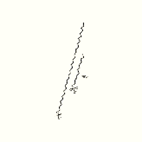 CCCCCCCCCCCCCCCCCCCCCCCCCCCCCCCCCCOS(=O)(=O)[O-].CCCCCCCCCCCCOS(=O)(=O)[O-].[Na+].[Na+]